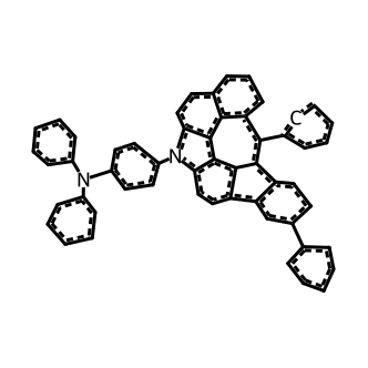 c1ccc(-c2ccc3c4c(-c5ccccc5)c5cccc6ccc7c(c8c-4c(ccc8n7-c4ccc(N(c7ccccc7)c7ccccc7)cc4)c3c2)c65)cc1